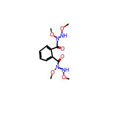 CONN(OC)C(=O)c1ccccc1C(=O)N(NOC)OC